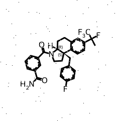 CC(F)(c1ccc2c(c1)CC[C@H]1N(C(=O)c3cccc(C(N)=O)c3)CC[C@@]21Cc1ccc(F)cc1)C(F)(F)F